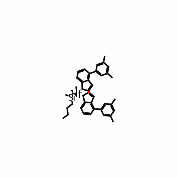 CCCC[Si](C)=[Hf]([CH3])([CH3])([CH]1C=Cc2c(-c3cc(C)cc(C)c3)cccc21)[CH]1C=Cc2c(-c3cc(C)cc(C)c3)cccc21